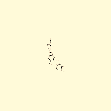 O=C(O)c1cnn(-c2nc3cc(S(=O)(=O)c4ccc(Cl)c(Cl)c4)c(Cl)cc3[nH]2)c1